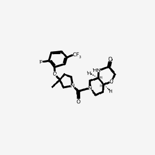 CC1(Oc2cc(C(F)(F)F)ccc2F)CCN(C(=O)N2CC[C@@H]3OCC(=O)N[C@@H]3C2)C1